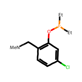 CCP(CC)Oc1cc(Cl)ccc1CNC